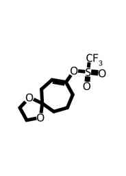 O=S(=O)(OC1=CCC2(CCC1)OCCO2)C(F)(F)F